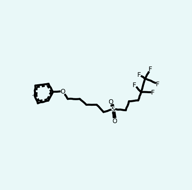 O=S(=O)(CCCCCOc1cc[c]cc1)CCCC(F)(F)C(F)(F)F